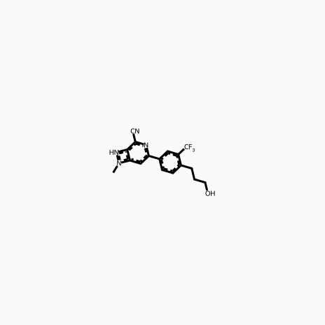 Cn1[nH]c2c(C#N)nc(-c3ccc(CCCO)c(C(F)(F)F)c3)cc21